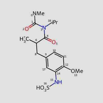 CNC(=O)N(C(=O)C(C)Cc1ccc(OC)c(NS(=O)(=O)O)c1)C(C)C